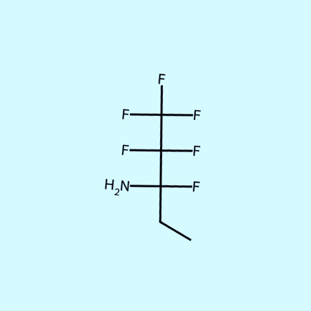 CCC(N)(F)C(F)(F)C(F)(F)F